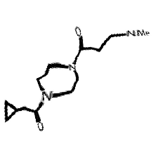 CNCCC(=O)N1CCN(C(=O)C2CC2)CC1